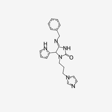 O=C1N/C(=N\Cc2ccccc2)C(c2ccc[nH]2)N1CCCn1ccnc1